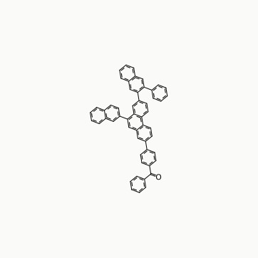 O=C(c1ccccc1)c1ccc(-c2ccc3c(c2)cc(-c2ccc4ccccc4c2)c2cc(-c4cc5ccccc5cc4-c4ccccc4)ccc23)cc1